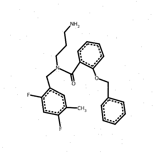 Cc1cc(CN(CCCN)C(=O)c2ccccc2OCc2ccccc2)c(F)cc1F